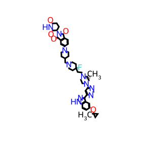 C[C@H]1CN(c2cc(-c3n[nH]c4ccc(OC5(C)CC5)cc34)ncn2)CCN1CCC1(F)CCN(CC2CCN(c3ccc4c(c3)C(=O)N(C3CCC(=O)NC3=O)C4=O)CC2)CC1